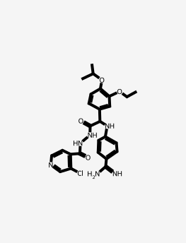 CCOc1cc(C(Nc2ccc(C(=N)N)cc2)C(=O)NNC(=O)c2ccncc2Cl)ccc1OC(C)C